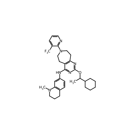 CC(Oc1nc2c(c(Nc3ccc4c(c3)N(C)CCC4)n1)CCN(c1ncccc1C(F)(F)F)CC2)C1CCCCC1